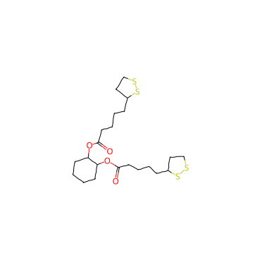 O=C(CCCCC1CCSS1)OC1CCCCC1OC(=O)CCCCC1CCSS1